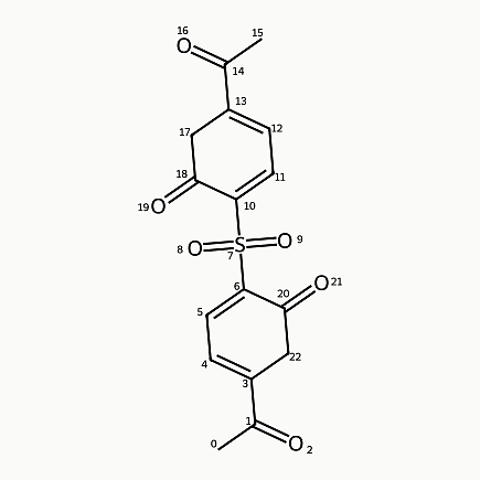 CC(=O)C1=CC=C(S(=O)(=O)C2=CC=C(C(C)=O)CC2=O)C(=O)C1